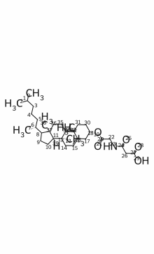 CC(C)CCC[C@@H](C)C1CC[C@H]2[C@]3(C)CC=C4C[C@@H](OC(=O)CNC(=O)CC(=O)O)CC[C@]4(C)[C@H]3CC[C@]12C